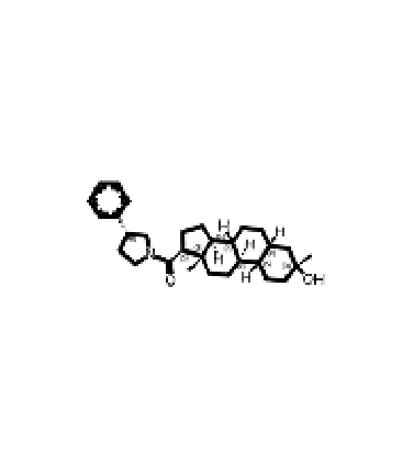 C[C@@]1(O)CC[C@H]2[C@H](CC[C@@H]3[C@@H]2CC[C@]2(C)[C@@H](C(=O)N4CC[C@H](c5ccccc5)C4)CC[C@@H]32)C1